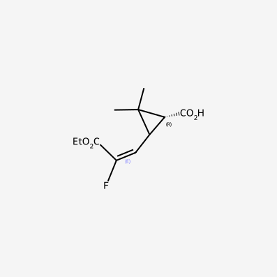 CCOC(=O)/C(F)=C\C1[C@@H](C(=O)O)C1(C)C